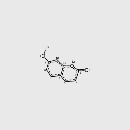 O=c1ccc2ccc(OI)cc2o1